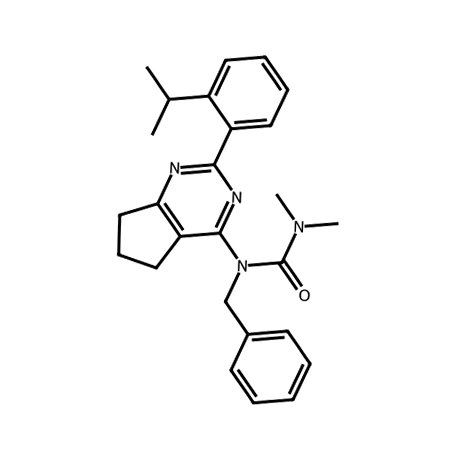 CC(C)c1ccccc1-c1nc2c(c(N(Cc3ccccc3)C(=O)N(C)C)n1)CCC2